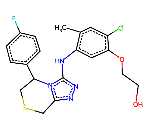 Cc1cc(Cl)c(OCCO)cc1Nc1nnc2n1C(c1ccc(F)cc1)CSC2